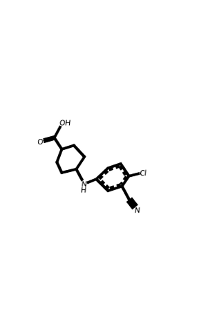 N#Cc1cc(NC2CCC(C(=O)O)CC2)ccc1Cl